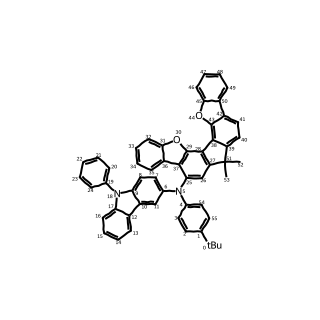 CC(C)(C)c1ccc(N(c2ccc3c(c2)c2ccccc2n3-c2ccccc2)c2cc3c(c4oc5ccccc5c24)-c2c(ccc4c2oc2ccccc24)C3(C)C)cc1